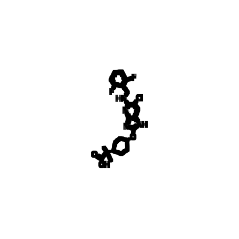 CC(C)(C(=O)O)[C@H]1CC[C@H](Oc2nc3nc(NCc4c(F)cccc4F)c(Cl)cc3[nH]2)CC1